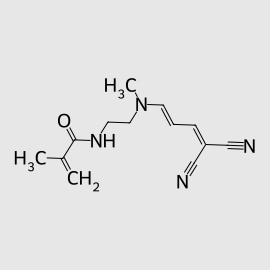 C=C(C)C(=O)NCCN(C)/C=C/C=C(C#N)C#N